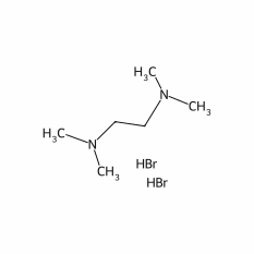 Br.Br.CN(C)CCN(C)C